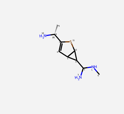 CNC(N)C1C2C=C([C@@H](C)N)SC21